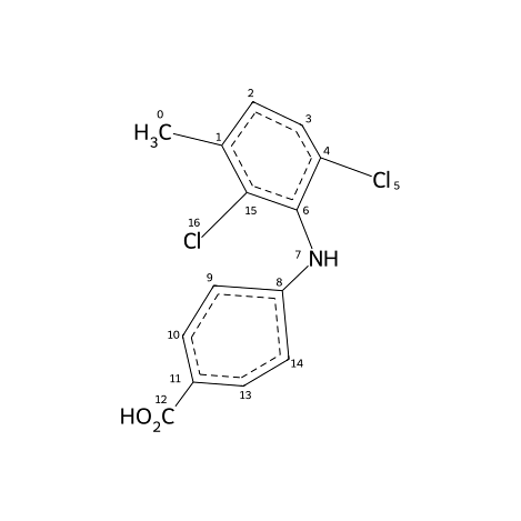 Cc1ccc(Cl)c(Nc2ccc(C(=O)O)cc2)c1Cl